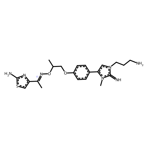 C/C(=N\OC(C)COc1ccc(-c2cn(CCCN)c(=N)n2C)cc1)c1csc(N)n1